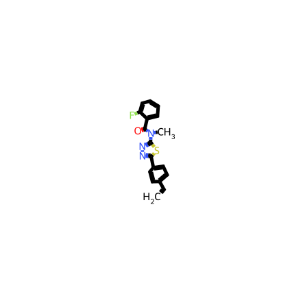 C=Cc1ccc(-c2nnc(N(C)C(=O)c3ccccc3F)s2)cc1